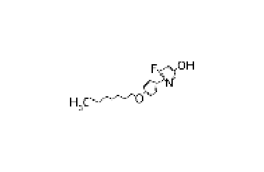 CCCCCCCCOc1ccc(-c2ncc(O)cc2F)cc1